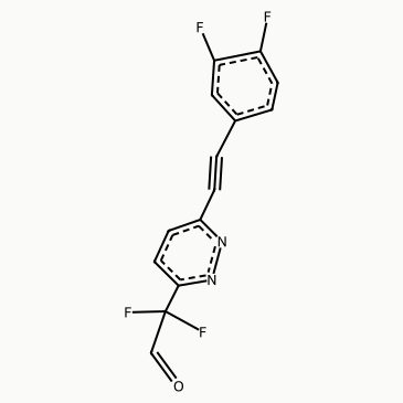 O=CC(F)(F)c1ccc(C#Cc2ccc(F)c(F)c2)nn1